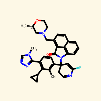 C[C@@H]1CN(Cc2ccc3cccc4c3c2C(=O)N4C2(c3ccc(-c4nncn4C)c(C4CC4)c3C#N)C=C(F)N=CC2)CCO1